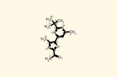 Cc1cc(-c2sc(C(N)=O)nc2C)nc(C(C)(C)C)n1